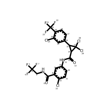 O=C(NCC(F)(F)F)c1cc(NC(=O)C2C(c3ccc(C(F)(F)F)c(Cl)c3)C2(Cl)Cl)ccc1Cl